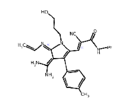 C=C/N=C1\C(=C(N)N)C(c2ccc(C)cc2)=C(/C=C(\C#N)C(=O)NC(C)C)N1CCCO